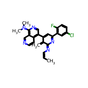 C=C1C(c2cnc(N(C)C)c3cnccc23)=CC(c2cc(Cl)ccc2F)=N/C1=N/C=C\C